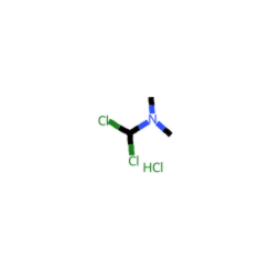 CN(C)C(Cl)Cl.Cl